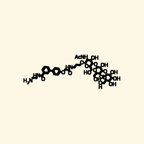 CC(=O)NC1C(O)[C@H](O[C@@H]2OC(CO)[C@H](O)C(O[C@H]3OC(CO)[C@H](O)C(O)C3O)C2O)C(CO)O[C@H]1OCCCNC(=O)COc1ccc(-c2cccc(C(=O)NCCN)c2)cc1